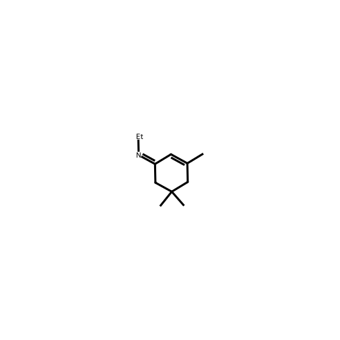 CCN=C1C=C(C)CC(C)(C)C1